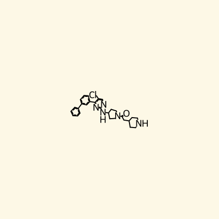 O=C(CC1CCNCC1)N1CCC(Nc2ncc(Cl)c(-c3cccc(-c4ccccc4)c3)n2)CC1